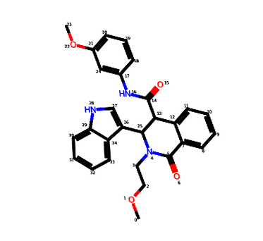 COCCN1C(=O)c2ccccc2C(C(=O)Nc2cccc(OC)c2)C1c1c[nH]c2ccccc12